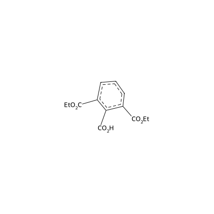 CCOC(=O)c1cccc(C(=O)OCC)c1C(=O)O